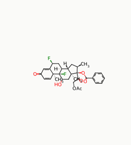 CC(=O)OCC(=O)[C@@]1(OC(=O)c2ccccc2)[C@H](C)C[C@H]2[C@@H]3C[C@H](F)C4=CC(=O)C=C[C@]4(C)[C@@]3(F)C(O)C[C@@]21C